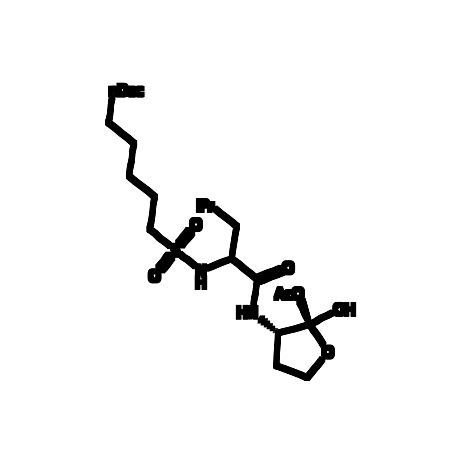 CCCCCCCCCCCCCCCS(=O)(=O)NC(CC(C)C)C(=O)N[C@H]1CCO[C@]1(O)OC(C)=O